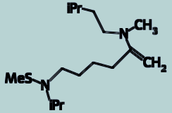 C=C(CCCCN(SC)C(C)C)N(C)CCC(C)C